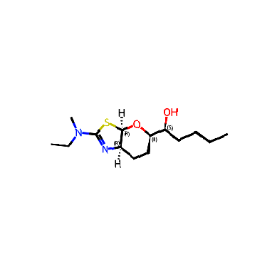 CCCC[C@H](O)[C@H]1CC[C@H]2N=C(N(C)CC)S[C@H]2O1